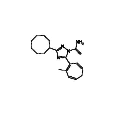 C=C(N)n1nc(C2CCCCCCC2)nc1C1=C(C)C=CCC=C1